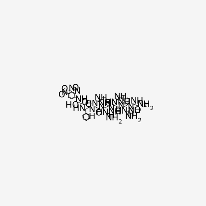 N=C(N)NC(NC(=O)C(NC(=N)N)NC(=O)C(NC(=N)N)NC(=O)C(NC(=N)N)NC(=O)C(NC(=O)C(O)Nc1ccc([N+](=O)[O-])c2nonc12)c1ccccc1)C(=O)NC(N)C(N)=O